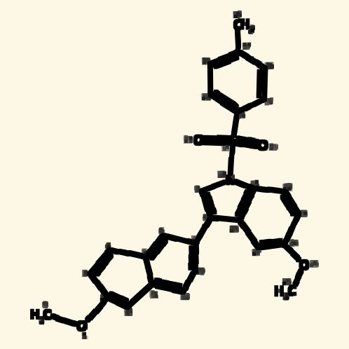 COc1ccc2cc(-c3cn(S(=O)(=O)c4ccc(C)cc4)c4ccc(OC)cc34)ccc2c1